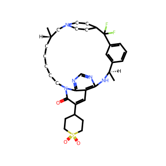 C[C@H]1CCCCCn2c(=O)c(C3CCS(=O)(=O)CC3)cc3c(ncnc32)N[C@H](C)c2cccc(c2)C(F)(F)C2CCN(CC2)C1